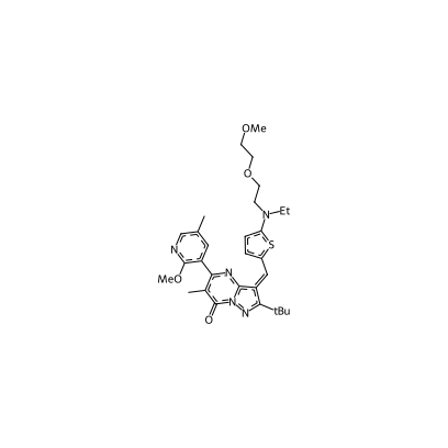 CCN(CCOCCOC)c1ccc(/C=c2/c(C(C)(C)C)nn3c(=O)c(C)c(-c4cc(C)cnc4OC)nc23)s1